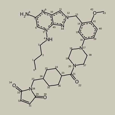 CCCCN[n+]1cc(N)nc2cn(Cc3cc(N4CCN(C(=O)C5CCC(CN6C(=O)C=CC6=O)CC5)CC4)ccc3OC)nc21